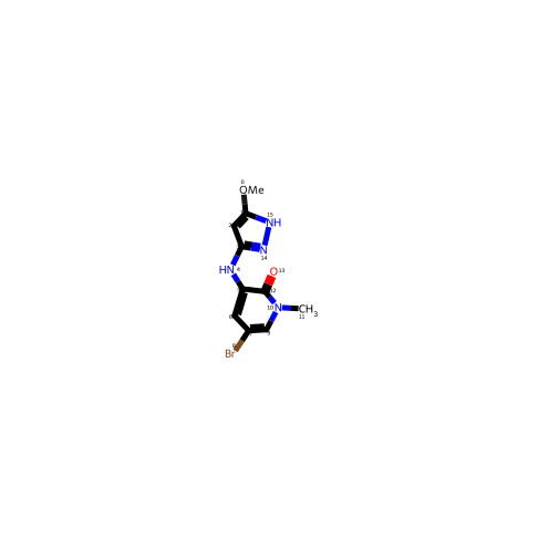 COc1cc(Nc2cc(Br)cn(C)c2=O)n[nH]1